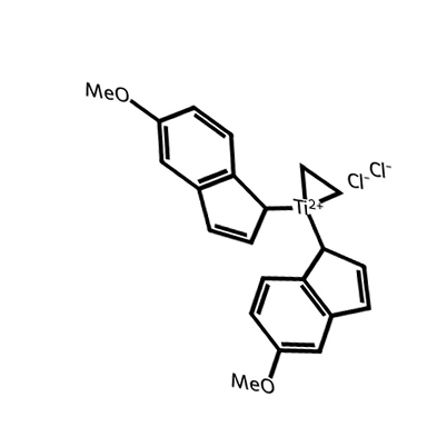 COc1ccc2c(c1)C=C[CH]2[Ti+2]1([CH]2C=Cc3cc(OC)ccc32)[CH2][CH2]1.[Cl-].[Cl-]